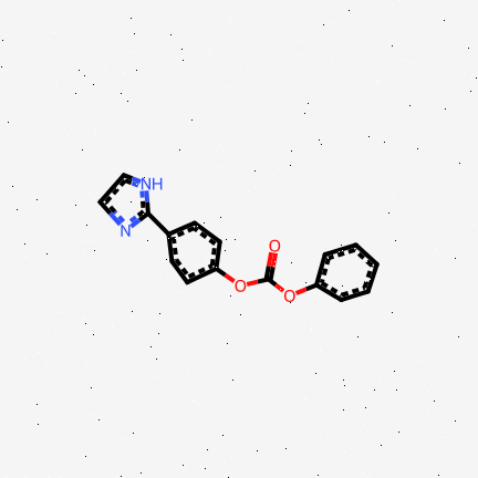 O=C(Oc1ccccc1)Oc1ccc(-c2ncc[nH]2)cc1